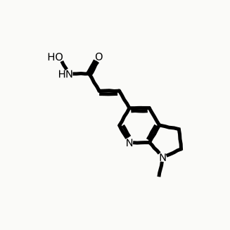 CN1CCc2cc(/C=C/C(=O)NO)cnc21